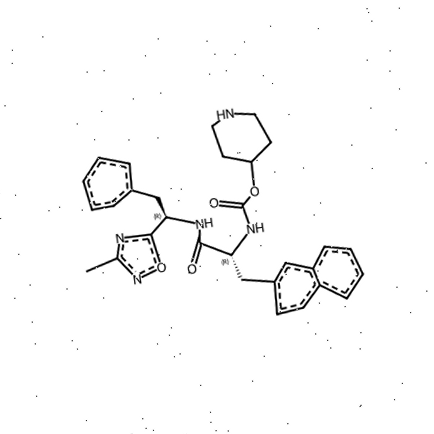 Cc1noc([C@@H](Cc2ccccc2)NC(=O)[C@@H](Cc2ccc3ccccc3c2)NC(=O)OC2CCNCC2)n1